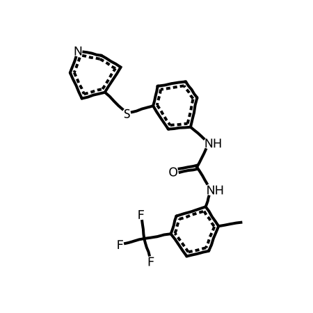 Cc1ccc(C(F)(F)F)cc1NC(=O)Nc1cccc(Sc2ccncc2)c1